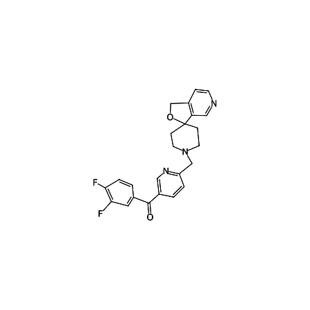 O=C(c1ccc(CN2CCC3(CC2)OCc2ccncc23)nc1)c1ccc(F)c(F)c1